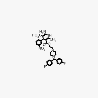 CC1=C(C(=O)OCCN2CCN(C(c3ccc(F)cc3)c3ccc(F)cc3)CC2)C(c2cccc([N+](=O)[O-])c2)C(C(=O)O)=C(N)N1